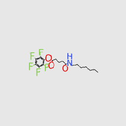 CCCCCCCNC(=O)CCCC(=O)Oc1c(F)c(F)c(F)c(F)c1F